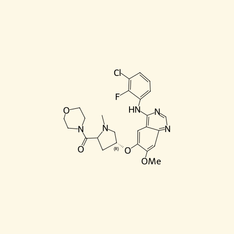 COc1cc2ncnc(Nc3cccc(Cl)c3F)c2cc1O[C@@H]1CC(C(=O)N2CCOCC2)N(C)C1